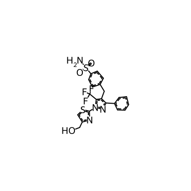 NS(=O)(=O)c1ccc(Cc2c(-c3ccccc3)nn(-c3nc(CO)cs3)c2C(F)(F)F)cc1